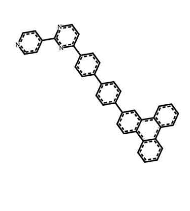 c1ccc2c(c1)c1ccccc1c1cc(-c3ccc(-c4ccc(-c5ccnc(-c6ccncc6)n5)cc4)cc3)ccc21